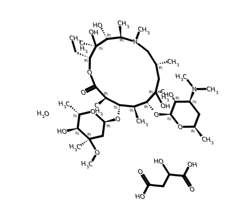 CC[C@H]1OC(=O)[C@H](C)[C@@H](O[C@H]2C[C@@](C)(OC)[C@@H](O)[C@H](C)O2)[C@H](C)[C@@H](O[C@@H]2O[C@H](C)C[C@H](N(C)C)[C@H]2O)[C@](C)(O)C[C@@H](C)CN(C)[C@H](C)[C@@H](O)[C@]1(C)O.O.O=C(O)CC(O)C(=O)O